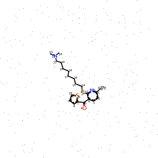 CC(C)c1ccc(C(=O)c2cccs2)c(SCCCCCCCCN(C)C)n1